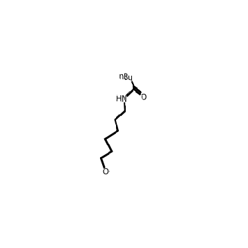 CCCCC(=O)NCCCCCC[O]